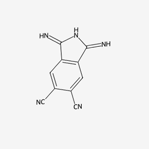 N#Cc1cc2c(cc1C#N)C(=N)NC2=N